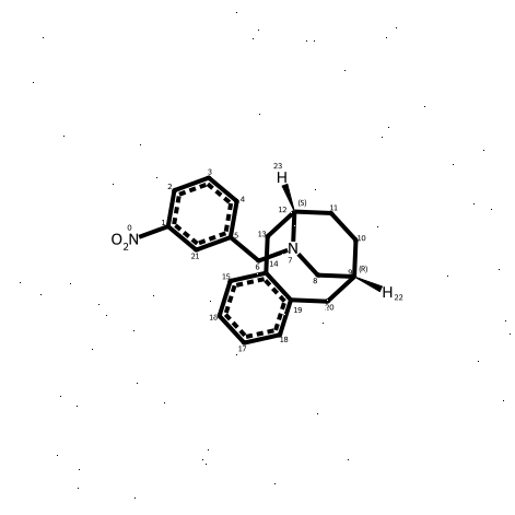 O=[N+]([O-])c1cccc(CN2C[C@@H]3CC[C@H]2Cc2ccccc2C3)c1